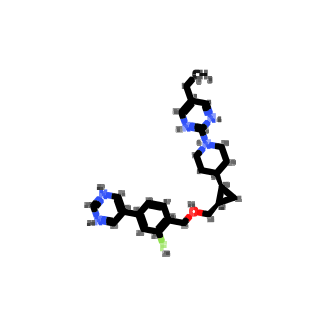 CCc1cnc(N2CCC([C@H]3C[C@H]3COCc3ccc(-c4cncnc4)cc3F)CC2)nc1